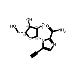 C#Cc1cnc(C(N)=O)n1[C@@H]1O[C@H](CO)[C@@H](O)[C@H]1O